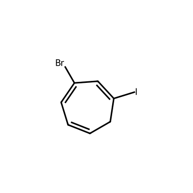 BrC1=CC=CCC(I)=C1